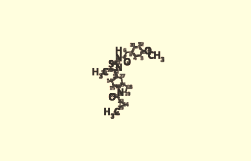 COc1ccc(CC(=O)Nc2nc(C3=CC=C4C(CCN4C(=O)C4CC4C)C3)c(C)s2)cc1